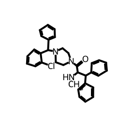 CNC(C(=O)N1CCN(C(c2ccccc2)c2ccccc2Cl)CC1)C(c1ccccc1)c1ccccc1